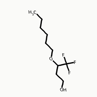 CCCCCCOC(CCO)C(F)(F)F